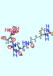 O=C(CCCCC1SCC2NC(=O)NC21)NC/C=C/c1cn(C2CC(O)C(COP(=O)(O)O)O2)c(=O)[nH]c1=O